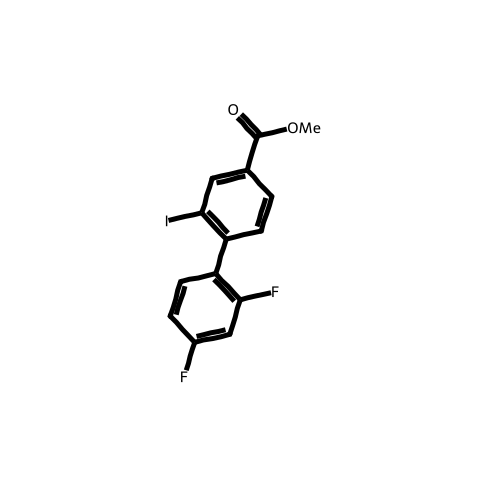 COC(=O)c1ccc(-c2ccc(F)cc2F)c(I)c1